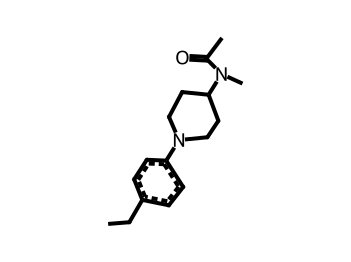 CCc1ccc(N2CCC(N(C)C(C)=O)CC2)cc1